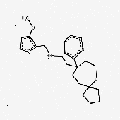 COc1ccsc1CNCCC1(c2ccccn2)CCOC2(CCCC2)CC1